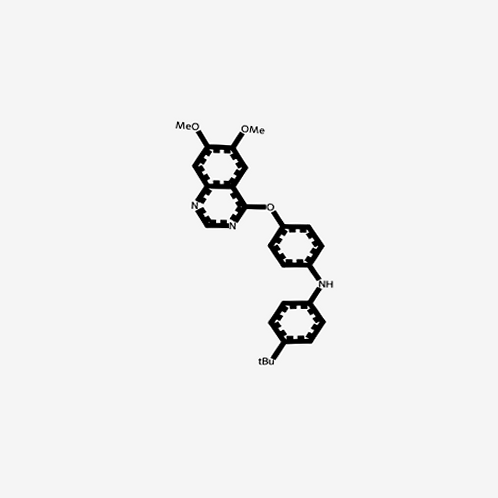 COc1cc2ncnc(Oc3ccc(Nc4ccc(C(C)(C)C)cc4)cc3)c2cc1OC